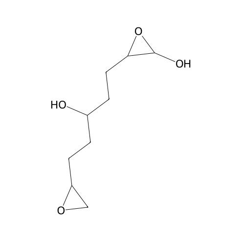 OC(CCC1CO1)CCC1OC1O